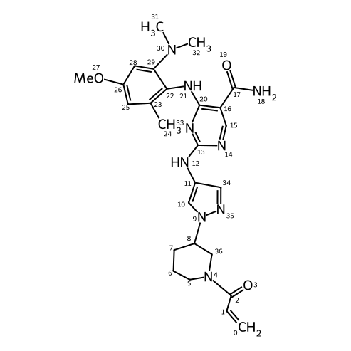 C=CC(=O)N1CCCC(n2cc(Nc3ncc(C(N)=O)c(Nc4c(C)cc(OC)cc4N(C)C)n3)cn2)C1